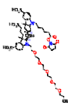 COCCOCCOCCOCCOCCOCCN1/C(=C/C(C)=C/C2=[N+](CCCCCC(=O)ON3C(=O)CCC3=O)c3ccc(S(=O)(=O)O)cc3C2(C)CCOC)C(C)(CCCS(=O)(=O)O)c2cc(S(=O)(=O)O)ccc21